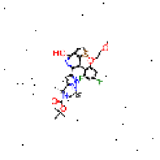 COCCOc1cc(F)cc(F)c1-c1c(-c2cc3n(n2)[C@@H](C)CN(C(=O)OC(C)(C)C)[C@@H]3C)nc(O)c2ccsc12